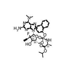 C#C[C@@]1(F)[C@H](O)[C@@H](COP(=O)(N[C@@H](C)C(=O)OC(C)C)Oc2cccc3ccccc23)O[C@H]1n1cnc2c(N(C)C)nc(N)nc21